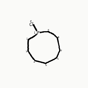 ClP1CCCCCCCC1